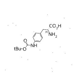 CC(C)(C)OC(=O)Nc1ccc(C[C@@H](N)C(=O)O)cc1